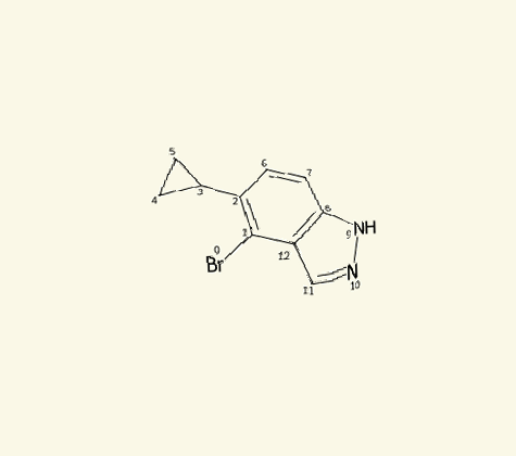 Brc1c(C2CC2)ccc2[nH]ncc12